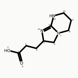 O=C(O)CCC1CN2CCCNC2=N1